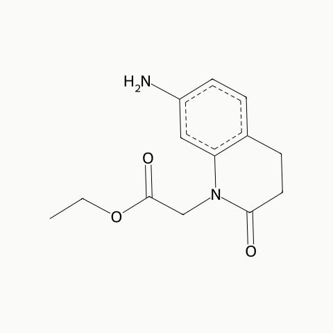 CCOC(=O)CN1C(=O)CCc2ccc(N)cc21